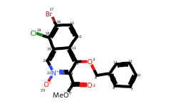 COC(=O)c1c(OCc2ccccc2)c2ccc(Br)c(Cl)c2c[n+]1[O-]